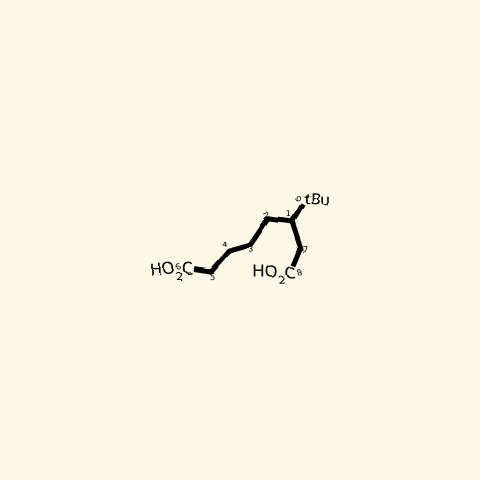 CC(C)(C)C(CCCCC(=O)O)CC(=O)O